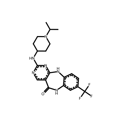 CC(C)N1CCC(Nc2ncc3c(n2)Nc2ccc(C(F)(F)F)cc2NC3=O)CC1